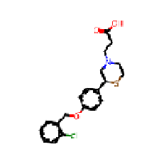 O=C(O)CCN1CCSC(c2ccc(OCc3ccccc3Cl)cc2)C1